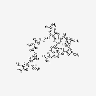 CCc1nc(C)oc1C(=O)Nc1nc2cc(C(N)=O)cc(OC)c2n1C/C=C/Cn1c(NC(=O)c2oc(C)nc2CC)nc2cc(C(N)=O)cc(OCCCOC(=O)[C@H](C)NC(=O)CNC(=O)[C@H](CCC(=O)O)NC(=O)CN3C(=O)C=CC3=O)c21